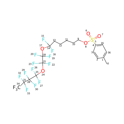 Cc1ccc(S(=O)(=O)OCCCCCC(F)(F)OC(F)(F)C(F)(F)OC(F)(F)C(F)(F)C(F)(F)C(F)(F)F)cc1